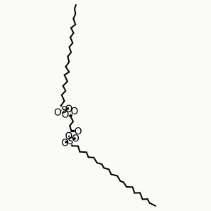 CCCCCCCCCCCCCCCCCCCCCCS(=O)(=O)OC(=O)CCC(=O)OS(=O)(=O)CCCCCCCCCCCCCCCCCCCCCC